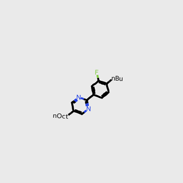 CCCCCCCCc1cnc(-c2ccc(CCCC)c(F)c2)nc1